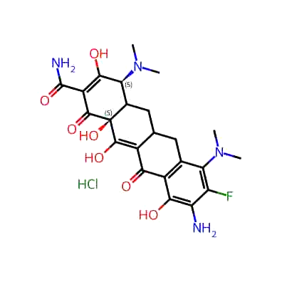 CN(C)c1c(F)c(N)c(O)c2c1CC1CC3[C@H](N(C)C)C(O)=C(C(N)=O)C(=O)[C@@]3(O)C(O)=C1C2=O.Cl